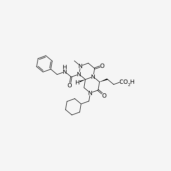 CN1CC(=O)N2[C@@H](CCC(=O)O)C(=O)N(CC3CCCCC3)C[C@@H]2N1C(=O)NCc1ccccc1